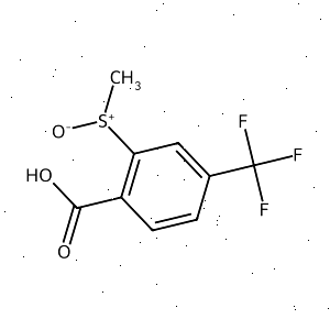 C[S+]([O-])c1cc(C(F)(F)F)ccc1C(=O)O